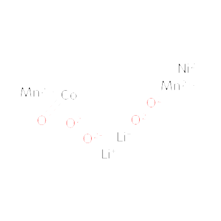 [Li+].[Li+].[Mn+2].[Mn+2].[Ni+2].[O-2].[O-2].[O-2].[O-2].[O]=[Co]